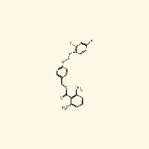 Cc1cccc(C)c1C(=O)OCc1ccc(OCCc2ccc(F)cc2F)cc1